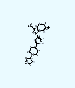 CCc1nn(-c2noc(C3CCN(C4CCOC4)CC3)n2)c2cc(F)ccc12